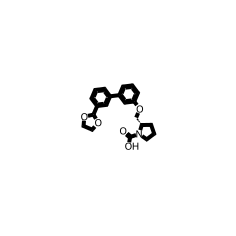 O=C(O)N1CCC[C@H]1COc1cccc(-c2cccc(C3OCCO3)c2)c1